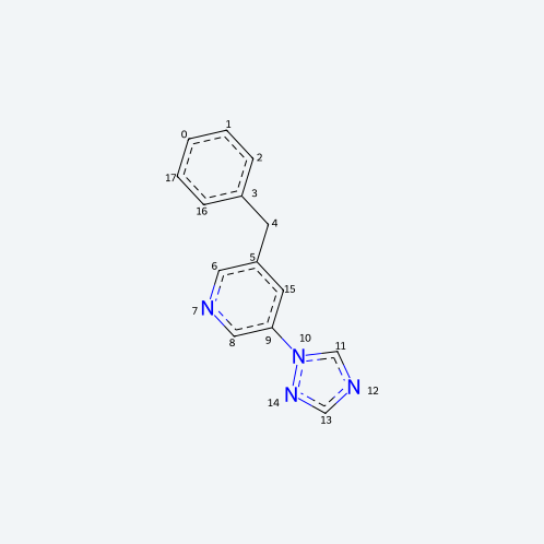 c1ccc(Cc2cncc(-n3cncn3)c2)cc1